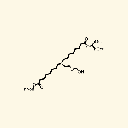 CCCCCCCCCOC(=O)CCCCCCCN(CCCCCCCC(=O)OC(CCCCCCCC)CCCCCCCC)CCOCO